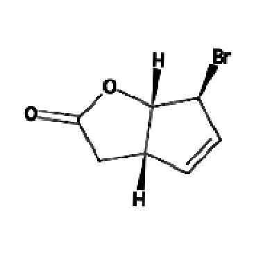 O=C1C[C@H]2C=C[C@H](Br)[C@H]2O1